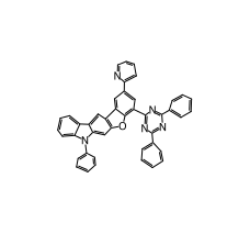 c1ccc(-c2nc(-c3ccccc3)nc(-c3cc(-c4ccccn4)cc4c3oc3cc5c(cc34)c3ccccc3n5-c3ccccc3)n2)cc1